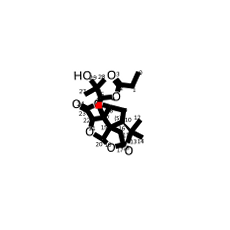 CCC(=O)OC(CC12C3C[C@@H](C(C)(C)C)C14CC(=O)OC4OC2C(=O)O3)C(C)(C)O